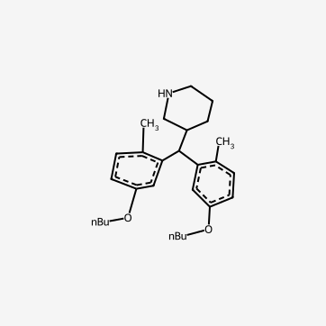 CCCCOc1ccc(C)c(C(c2cc(OCCCC)ccc2C)C2CCCNC2)c1